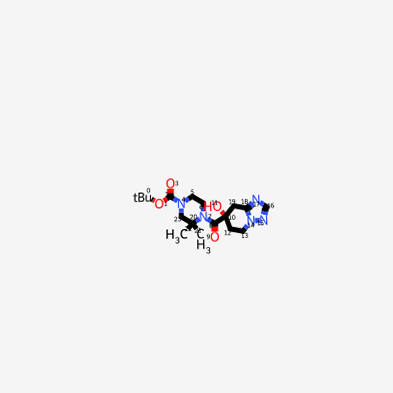 CC(C)(C)OC(=O)N1CCN(C(=O)C2(O)CCn3ncnc3C2)C(C)(C)C1